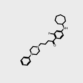 O=C(CCCN1CCN(c2ccccc2)CC1)c1ccc(NC2CCCCCC2)cc1F